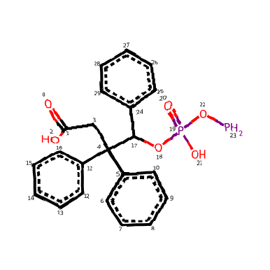 O=C(O)CC(c1ccccc1)(c1ccccc1)C(OP(=O)(O)OP)c1ccccc1